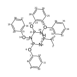 C=C(C)[PH]1=NP(Oc2ccccc2)N(Oc2ccccc2)P(Oc2ccccc2)N1Oc1ccccc1